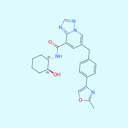 Cc1nc(-c2ccc(Cc3cc(C(=O)N[C@H]4CCCC[C@@H]4O)c4ncnn4c3)cc2)co1